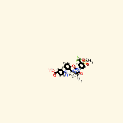 CC1(C)C(=O)N(c2ccc(S(C)(=O)=O)c(C(F)(F)F)c2)C(=O)N1Cc1ccccc1Nc1ccc(C(=O)O)cc1